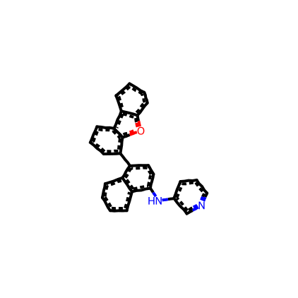 c1cncc(Nc2ccc(-c3cccc4c3oc3ccccc34)c3ccccc23)c1